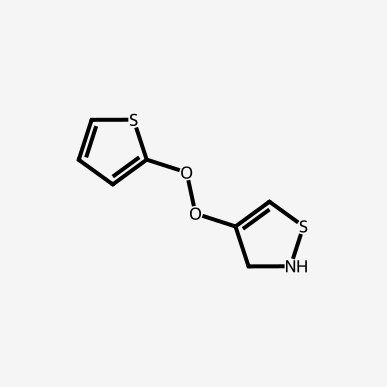 C1=C(OOc2cccs2)CNS1